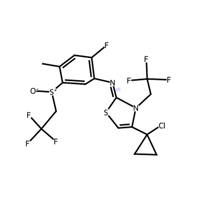 Cc1cc(F)c(/N=c2\scc(C3(Cl)CC3)n2CC(F)(F)F)cc1[S+]([O-])CC(F)(F)F